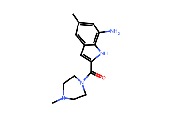 Cc1cc(N)c2[nH]c(C(=O)N3CCN(C)CC3)cc2c1